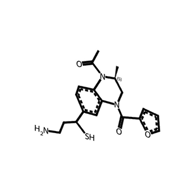 CC(=O)N1c2ccc(C(S)CCN)cc2N(C(=O)c2ccco2)C[C@@H]1C